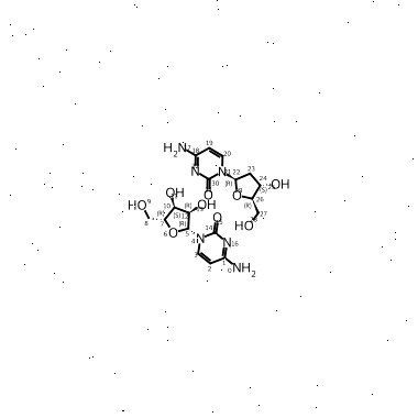 Nc1ccn([C@@H]2O[C@H](CO)[C@@H](O)[C@H]2O)c(=O)n1.Nc1ccn([C@H]2C[C@H](O)[C@@H](CO)O2)c(=O)n1